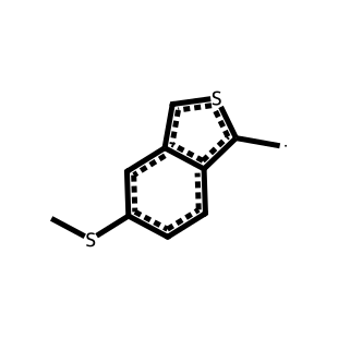 [CH2]c1scc2cc(SC)ccc12